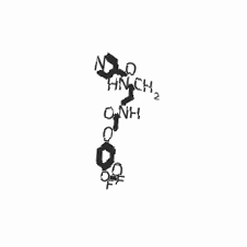 C=C(CCNC(=O)COc1ccc2c(c1)OC(F)(F)O2)NC(=O)c1ccncc1